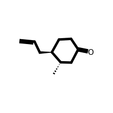 C=CC[C@H]1CCC(=O)C[C@@H]1C